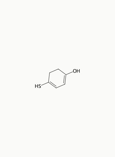 OC1=CC=C(S)CC1